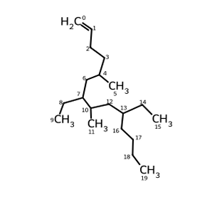 C=CCCC(C)CC(CC)C(C)CC(CC)CCCC